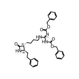 O=C(/N=C(\NCCCC[C@H]1C(=O)N[C@@H]1CCc1ccccc1)NC(=O)OCc1ccccc1)OCc1ccccc1